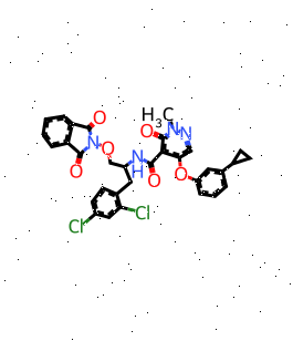 Cn1ncc(Oc2cccc(C3CC3)c2)c(C(=O)NC(CON2C(=O)c3ccccc3C2=O)Cc2ccc(Cl)cc2Cl)c1=O